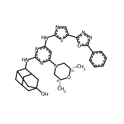 C[C@@H]1CN(c2cc(Nc3ncc(-c4nnc(-c5ccccc5)o4)s3)nc(NC3C4CC5CC3CC(O)(C5)C4)n2)C[C@H](C)O1